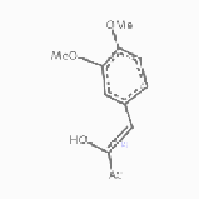 COc1ccc(/C=C(\O)C(C)=O)cc1OC